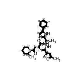 Cc1cc(C(O)N[C@@H](CC(=O)N2CCCCC2C)C(=O)N[C@@H](C)c2ncc(-c3ccccc3)[nH]2)no1